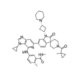 CNC(=O)c1cc(Nc2nc(-c3ccc4c(c3)N([C@H]3C[C@@H](N5CCCCC5)C3)C(=O)C43CCN(C(=O)C4(C)CC4)CC3)cc3ncn(C4CC4)c23)ccc1C